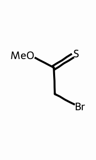 COC(=S)CBr